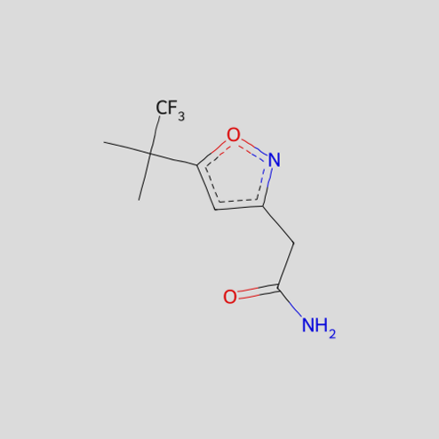 CC(C)(c1cc(CC(N)=O)no1)C(F)(F)F